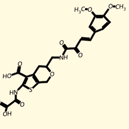 COc1ccc(C=CC(=O)C(=O)NCC2Cc3c(sc(NC(=O)C(=O)O)c3C(=O)O)CO2)cc1OC